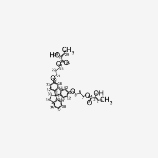 CC=C(O)C(=O)OCCCOc1ccc(C2(c3ccc(OCCCOC(=O)C(O)=CC)cc3)CCc3ccccc32)cc1